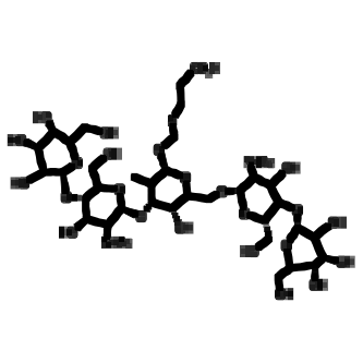 CC(=O)NC1C(O)C(O[C@@H]2OC(CO)[C@H](O)[C@H](O)C2O)[C@H](CO)O[C@H]1OCC1O[C@H](OCSCCC(=O)O)C(C)[C@@H](O[C@@H]2OC(CO)[C@@H](O[C@@H]3OC(CO)[C@H](O)[C@H](O)C3O)[C@H](O)C2NC(C)=O)[C@H]1O